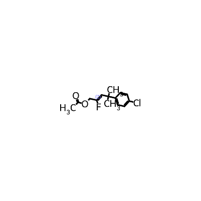 CC(=O)OC/C(F)=C/C(C)(C)c1ccc(Cl)cc1